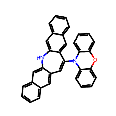 C1=C(N2c3ccccc3Oc3ccccc32)c2cc3ccccc3cc2Nc2cc3ccccc3cc21